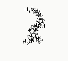 C=Nc1c(F)cc(-c2nc(Nc3ccc(CN4CC5(CN(C)C5)C4)cn3)ncc2F)cc1N1CCCC1